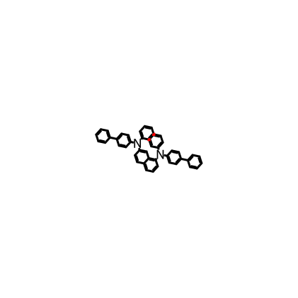 c1ccc(-c2ccc(N(c3ccccc3)c3ccc4cccc(N(c5ccccc5)c5ccc(-c6ccccc6)cc5)c4c3)cc2)cc1